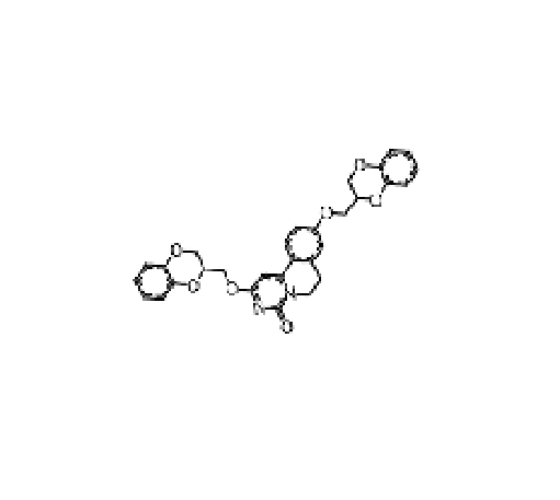 O=c1nc(OCC2COc3ccccc3O2)cc2n1CCc1cc(OCC3COc4ccccc4O3)ccc1-2